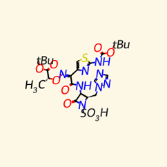 C[C@@H](O/N=C(\C(=O)N[C@@H]1C(=O)N(S(=O)(=O)O)[C@@H]1Cn1cncn1)c1csc(NC(=O)OC(C)(C)C)n1)C(=O)OC(C)(C)C